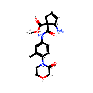 Cc1cc(NC(=O)C2(C(=O)OC(C)(C)C)CC=CC2N)ccc1N1CCOCC1=O